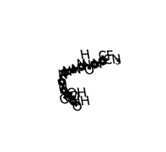 CC1(CN2CCN(CC3CCN(c4ccc5c(c4)C(O)N(C4CCC(=O)NC4=O)C5=O)CC3)CC2)CN(C2C=CC(NC(=O)C3CCN(c4ccc(C#N)c(C(F)(F)F)c4)CC3)=NC2)C1